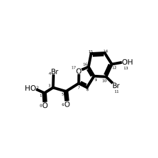 O=C(O)C(Br)C(=O)c1cc2c(Br)c(O)ccc2o1